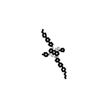 CCCCCC1CCC(c2ccc(-c3ccc(Nc4ccc(Nc5ccccc5)c5c4C(=O)c4c(Sc6ccc(C)cc6)ccc(Sc6ccc(-c7ccc(C8CCC(CCC)CC8)cc7)cc6)c4C5=O)cc3)cc2)CC1